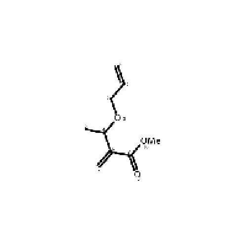 C=CCOC(C)C(=C)C(=O)OC